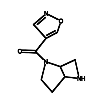 O=C(c1cnoc1)N1CCC2NCC21